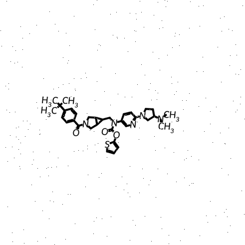 CN(C)C1CCN(c2ccc(N(CC3C4CN(C(=O)c5ccc(C(C)(C)C)cc5)CC43)C(=O)Oc3cccs3)cn2)C1